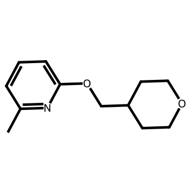 Cc1cccc(OCC2CCOCC2)n1